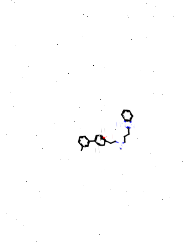 Cc1cccc(C2=C[C@H]3CC[C@@H]2C[C@@]3(O)CCN(C)CCCc2nc3ccccc3[nH]2)c1